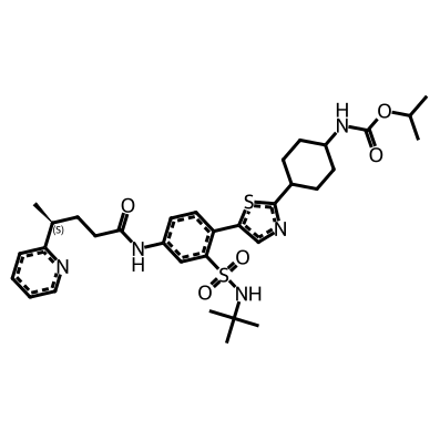 CC(C)OC(=O)NC1CCC(c2ncc(-c3ccc(NC(=O)CC[C@H](C)c4ccccn4)cc3S(=O)(=O)NC(C)(C)C)s2)CC1